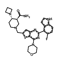 NC(=O)[C@H]1CN(Cc2cc3nc(-c4c(F)ccc5[nH]ccc45)nc(N4CCOCC4)c3s2)CC[C@@H]1N1CCC1